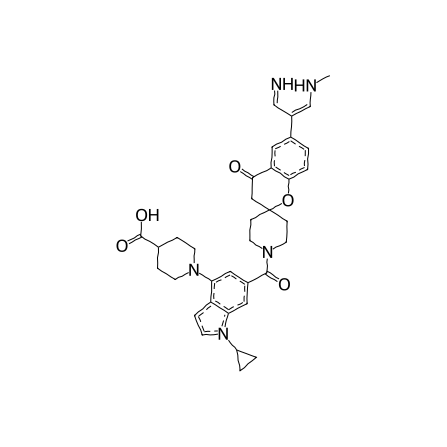 CN/C=C(\C=N)c1ccc2c(c1)C(=O)CC1(CCN(C(=O)c3cc(N4CCC(C(=O)O)CC4)c4ccn(C5CC5)c4c3)CC1)O2